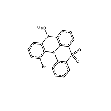 COB1c2cccc(Br)c2N2c3ccccc3S(=O)(=O)c3cccc1c32